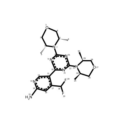 C[C@@H]1COC[C@H](C)N1c1nc(-c2cnc(N)cc2C(F)F)nc(N2[C@H](C)COC[C@@H]2C)n1